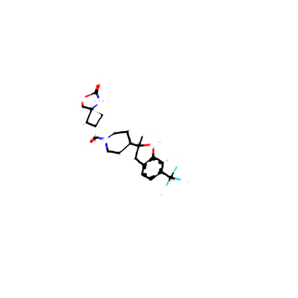 CC1(C2CCN(C(=O)[C@H]3C[C@]4(COC(=O)N4)C3)CC2)Cc2ccc(C(F)(F)F)cc2O1